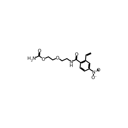 C=Cc1cc([N+](=O)[O-])ccc1C(=O)NCCOCCOC(N)=O